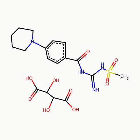 CS(=O)(=O)NC(=N)NC(=O)c1ccc(N2CCCCC2)cc1.O=C(O)C(O)C(O)C(=O)O